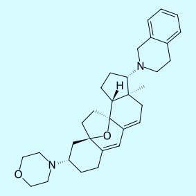 C[C@]12CC=C3C=C4CC[C@H](N5CCOCC5)C[C@]45CC[C@]3(O5)[C@@H]1CC[C@@H]2N1CCc2ccccc2C1